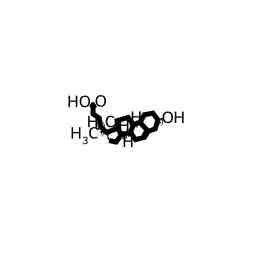 C[C@H](CCC(=O)O)[C@H]1CC[C@H]2[C@@H]3CC=C4C[C@@H](O)CCC4[C@H]3CC[C@]12C